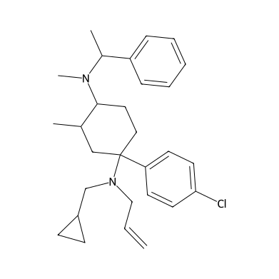 C=CCN(CC1CC1)C1(c2ccc(Cl)cc2)CCC(N(C)C(C)c2ccccc2)C(C)C1